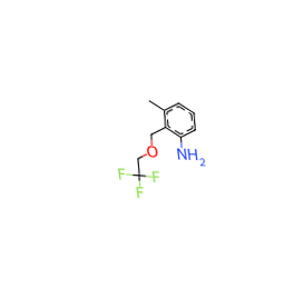 Cc1cccc(N)c1COCC(F)(F)F